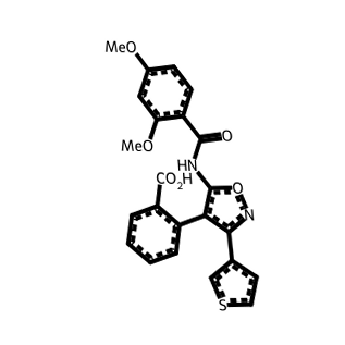 COc1ccc(C(=O)Nc2onc(-c3ccsc3)c2-c2ccccc2C(=O)O)c(OC)c1